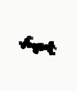 CC1(C)c2cc(-c3ccc4c(c3)C3CC(C(C)(C)C)CCC3(C)N4c3ccccc3)ccc2-c2c1c1ccc(-c3ccc4c(c3)C3CC(C(C)(C)C)CCC3(C)N4c3ccccc3)cc1c1ccccc21